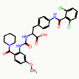 COc1ccc(C(=O)N2CCCCC2)c(NC(=O)NC(Cc2ccc(NC(=O)c3c(Cl)cccc3Cl)cc2)C(=O)O)c1